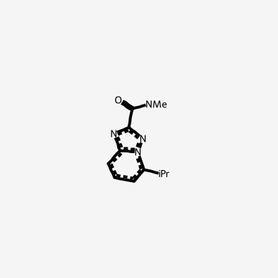 CNC(=O)c1nc2cccc(C(C)C)n2n1